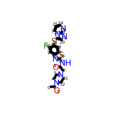 CC(=O)N1CCN(CC(=O)Nc2nc3cc(F)c(Sc4cnc5ncccn45)cc3s2)CC1